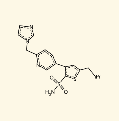 CC(C)Cc1cc(-c2ccc(Cn3ccnc3)nc2)c(S(N)(=O)=O)s1